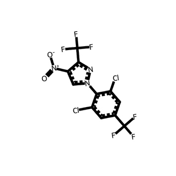 O=[N+]([O-])c1cn(-c2c(Cl)cc(C(F)(F)F)cc2Cl)nc1C(F)(F)F